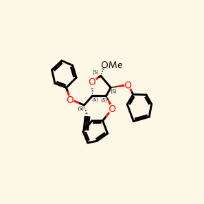 C#C[C@H](Oc1ccccc1)[C@@H]1O[C@H](OC)[C@@H](Oc2ccccc2)[C@H]1Oc1ccccc1